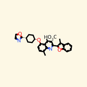 Cc1c(-c2cc(C(=O)O)c3c(O[C@H]4CC[C@@H](c5ncco5)CC4)ccc(C)c3n2)oc2ccccc12